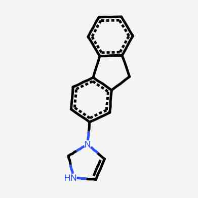 C1=CN(c2ccc3c(c2)Cc2ccccc2-3)CN1